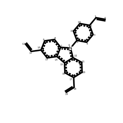 C=Cc1ccc(-n2c3ccc(C=C)cc3c3cc(C=C)ccc32)cc1